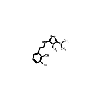 CN(C)c1nnc(NCCc2cccc(O)c2O)n1C